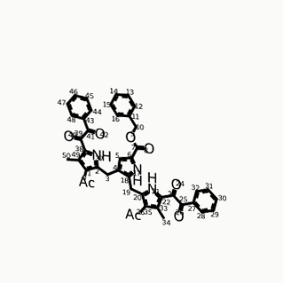 CC(=O)c1c(Cc2cc(C(=O)OCc3ccccc3)[nH]c2Cc2[nH]c(C(=O)C(=O)c3ccccc3)c(C)c2C(C)=O)[nH]c(C(=O)C(=O)c2ccccc2)c1C